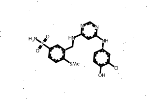 CSc1ccc(S(N)(=O)=O)cc1CNc1cc(Nc2ccc(O)c(Cl)c2)ncn1